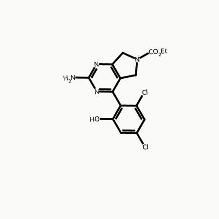 CCOC(=O)N1Cc2nc(N)nc(-c3c(O)cc(Cl)cc3Cl)c2C1